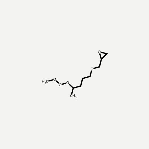 COOOC(C)CCCOCC1CO1